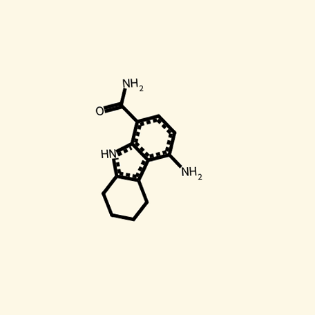 NC(=O)c1ccc(N)c2c3c([nH]c12)CCCC3